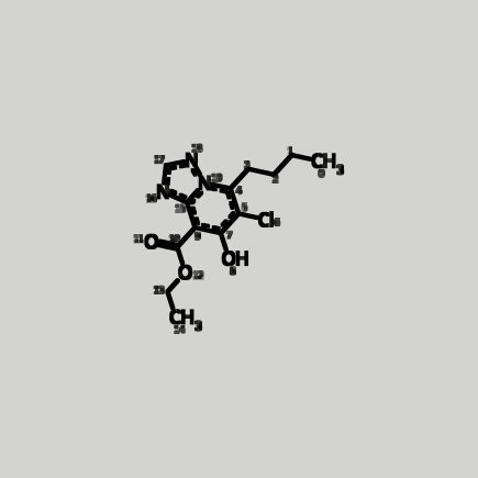 CCCCc1c(Cl)c(O)c(C(=O)OCC)c2ncnn12